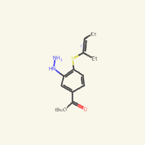 CC/C=C(\CC)Sc1ccc(C(=O)OCC(C)C)cc1NN